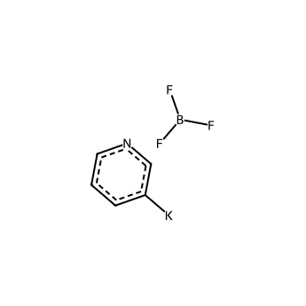 FB(F)F.[K][c]1cccnc1